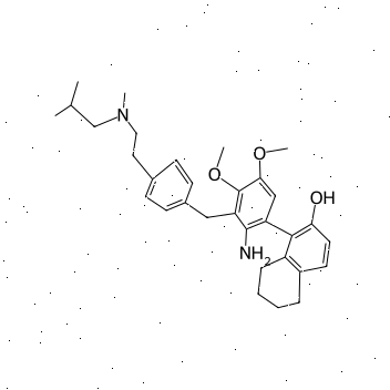 COc1cc(-c2c(O)ccc3c2CCCC3)c(N)c(Cc2ccc(CCN(C)CC(C)C)cc2)c1OC